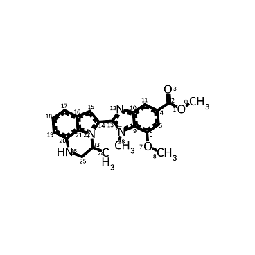 COC(=O)c1cc(OC)c2c(c1)nc(-c1cc3cccc4c3n1C(C)CN4)n2C